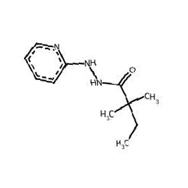 CCC(C)(C)C(=O)NNc1ccccn1